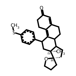 CSc1ccc(C2C[C@@]3(C)C(CC[C@@]34CCCO4)C3CCC4=CC(=O)CCC4=C23)cc1